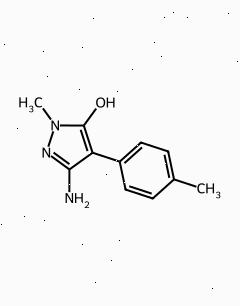 Cc1ccc(-c2c(N)nn(C)c2O)cc1